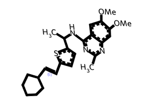 COc1cc2nc(C)nc(NC(C)c3ccc(/C=C/C4CCCCC4)s3)c2cc1OC